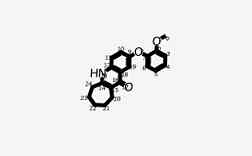 COc1ccccc1Oc1ccc2[nH]c3c(c(=O)c2c1)CCCCC3